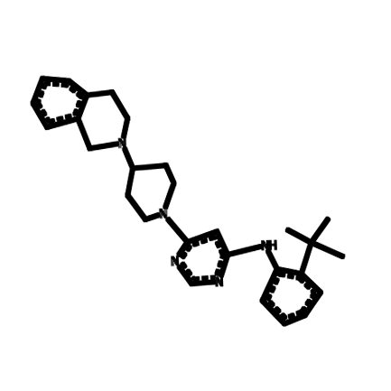 CC(C)(C)c1ccccc1Nc1cc(N2CCC(N3CCc4ccccc4C3)CC2)ncn1